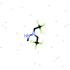 CNN(CC(F)(F)F)CC(F)(F)F